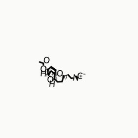 [C-]#[N+]CC[C@H]1CC[C@@H]2O[C@@H]3C[C@]2(C=C[C@H]3OC(C)=O)O1